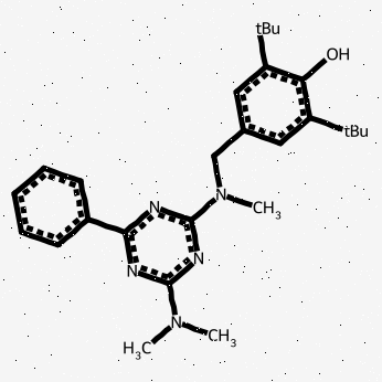 CN(C)c1nc(-c2ccccc2)nc(N(C)Cc2cc(C(C)(C)C)c(O)c(C(C)(C)C)c2)n1